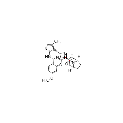 COc1ccc2c(Nc3ncc(C)s3)nc(N[C@@H]3C[C@H]4CC[C@@H](C3)N4S(=O)(=O)N3CC(C#N)C3)nc2c1